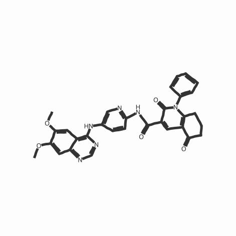 COc1cc2ncnc(Nc3ccc(NC(=O)c4cc5c(n(-c6ccccc6)c4=O)CCCC5=O)nc3)c2cc1OC